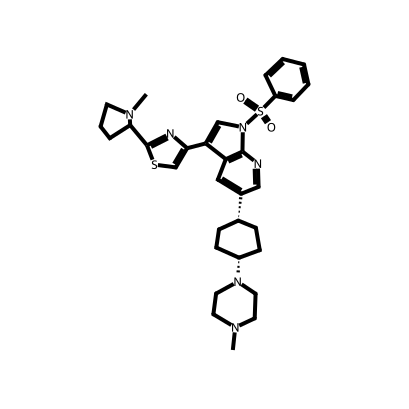 CN1CCN([C@H]2CC[C@@H](c3cnc4c(c3)c(-c3csc(C5CCCN5C)n3)cn4S(=O)(=O)c3ccccc3)CC2)CC1